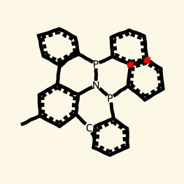 CCc1cc(C)cc(CC)c1N(P(c1ccccc1)c1ccccc1)P(c1ccccc1)c1ccccc1